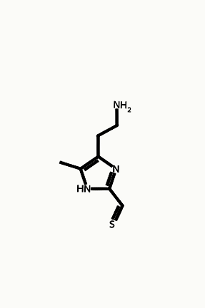 Cc1[nH]c(C=S)nc1CCN